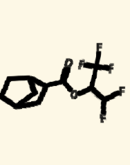 O=C(OC(C(F)F)C(F)(F)F)C1CC2CCC1C2